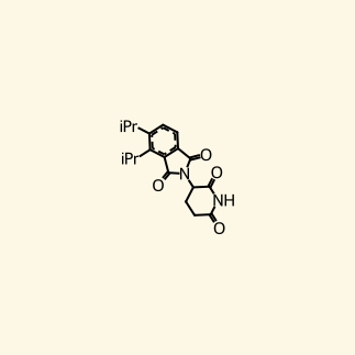 CC(C)c1ccc2c(c1C(C)C)C(=O)N(C1CCC(=O)NC1=O)C2=O